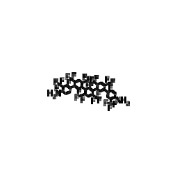 Nc1ccc(-c2cc(-c3cc(-c4cc(-c5ccc(N)c(C(F)(F)F)c5)c(C(F)(F)F)cc4C(F)(F)F)c(C(F)(F)F)cc3C(F)(F)F)c(C(F)(F)F)cc2C(F)(F)F)cc1C(F)(F)F